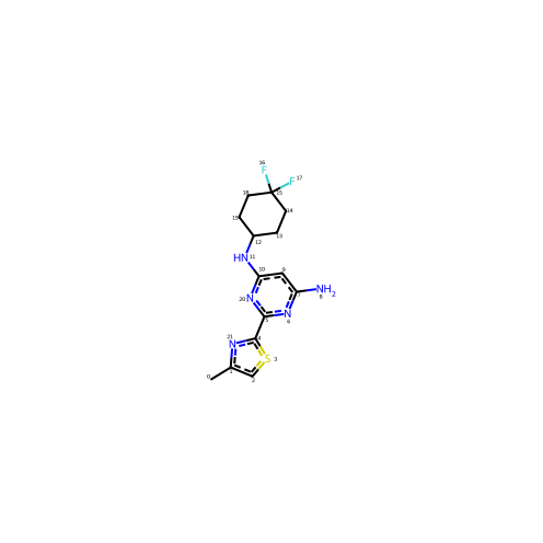 Cc1csc(-c2nc(N)cc(NC3CCC(F)(F)CC3)n2)n1